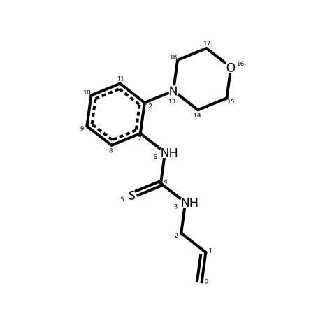 C=CCNC(=S)Nc1ccccc1N1CCOCC1